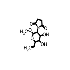 C=CC1OC(OC)C(N2C(=O)CCC2=O)C(O)C1O